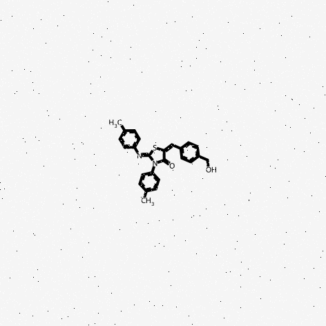 Cc1ccc(N=C2SC(=Cc3ccc(CO)cc3)C(=O)N2c2ccc(C)cc2)cc1